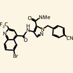 CNC(=O)c1c(NC(=O)c2cc(C(F)(F)F)nc3ccc(Br)cc23)cnn1Cc1ccc(C#N)cc1